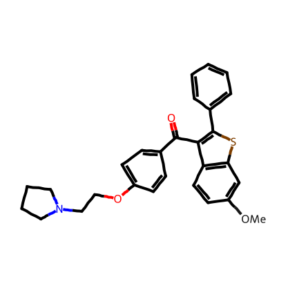 COc1ccc2c(C(=O)c3ccc(OCCN4CCCC4)cc3)c(-c3ccccc3)sc2c1